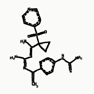 C=C(/N=C(N)\C=C(/N)C1(S(=O)(=O)c2ccncc2)CC1)c1ccc(NC(N)=S)cc1